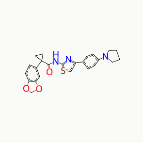 O=C(Nc1nc(-c2ccc(N3CCCC3)cc2)cs1)C1(c2ccc3c(c2)OCO3)CC1